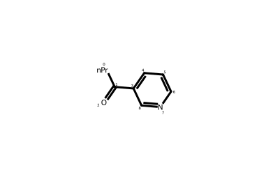 [CH2]CCC(=O)c1cccnc1